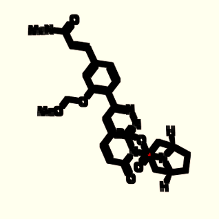 CNC(=O)/C=C/c1ccc(-c2cc3ccc(=O)n(C4C[C@H]5CC[C@@H](C4)N5C(=O)OC(C)(C)C)c3nn2)c(OCOC)c1